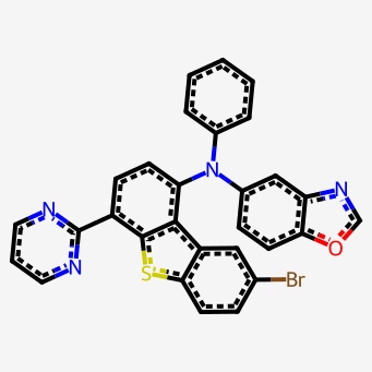 Brc1ccc2sc3c(-c4ncccn4)ccc(N(c4ccccc4)c4ccc5ocnc5c4)c3c2c1